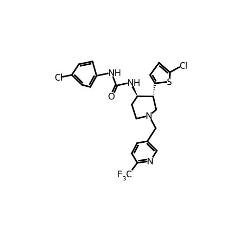 O=C(Nc1ccc(Cl)cc1)N[C@@H]1CCN(Cc2ccc(C(F)(F)F)nc2)C[C@H]1c1ccc(Cl)s1